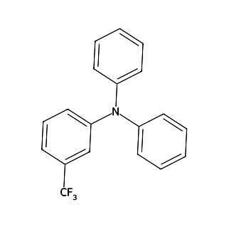 FC(F)(F)c1cccc(N(c2ccccc2)c2ccccc2)c1